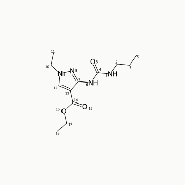 CCCNC(=O)Nc1nn(CC)cc1C(=O)OCC